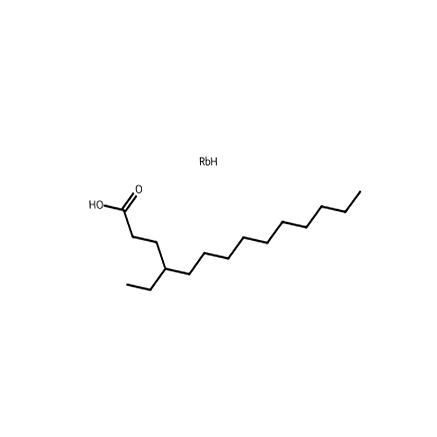 CCCCCCCCCCC(CC)CCC(=O)O.[RbH]